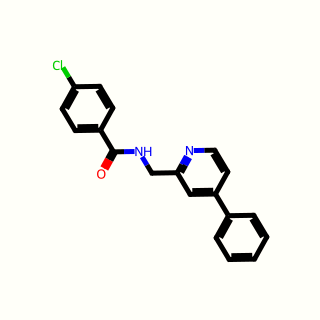 O=C(NCc1cc(-c2ccccc2)ccn1)c1ccc(Cl)cc1